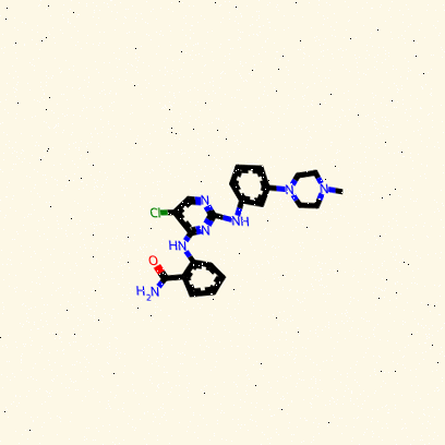 CN1CCN(c2cccc(Nc3ncc(Cl)c(Nc4ccccc4C(N)=O)n3)c2)CC1